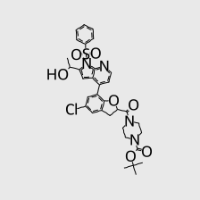 CC(O)c1cc2c(-c3cc(Cl)cc4c3OC(C(=O)N3CCN(C(=O)OC(C)(C)C)CC3)C4)ccnc2n1S(=O)(=O)c1ccccc1